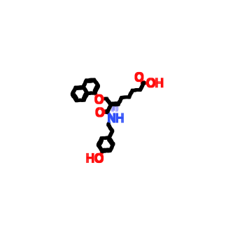 O=C(O)CCCC/C=C(\COc1cccc2ccccc12)C(=O)NCCc1ccc(O)cc1